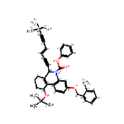 CC(C)(C)[Si](C)(C)OC1CCCC2=C1c1ccc(OCc3ccccc3[N+](=O)[O-])cc1N(C(=O)Oc1ccccc1)C2C#CC=CC#C[Si](C)(C)C